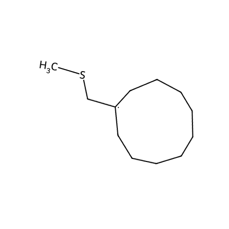 CSC[C]1CCCCCCCCC1